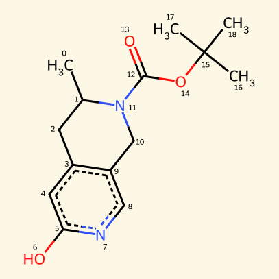 CC1Cc2cc(O)ncc2CN1C(=O)OC(C)(C)C